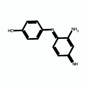 N=C1C=CC(=Nc2ccc(O)cc2)C(N)=C1